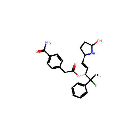 CC(F)(c1ccccc1)[C@@H](/C=C/[C@H]1CCC(O)N1)OC(=O)Cc1ccc(C(N)=O)cc1